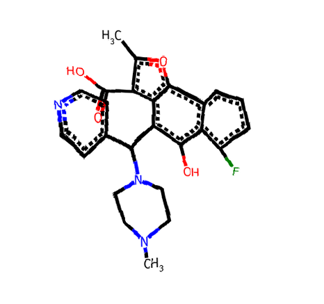 Cc1oc2c(c1C(=O)O)c(C(c1ccncc1)N1CCN(C)CC1)c(O)c1c(F)cccc12